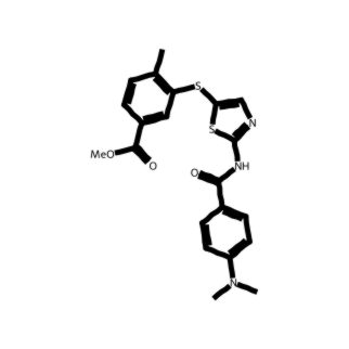 COC(=O)c1ccc(C)c(Sc2cnc(NC(=O)c3ccc(N(C)C)cc3)s2)c1